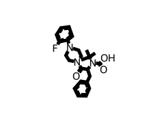 CC(C)(C)N(C(=O)O)C(Cc1ccccc1)C(=O)N1CCN(c2ccccc2F)CC1